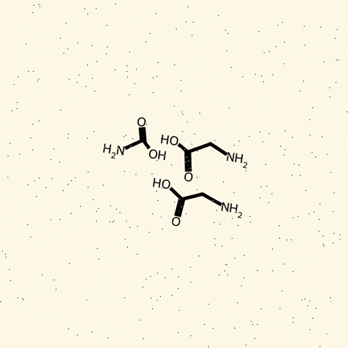 NC(=O)O.NCC(=O)O.NCC(=O)O